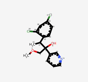 COCC(O)(c1cccnc1)C(C)c1ccc(Cl)cc1Cl